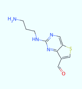 NCCCNc1ncc2scc(C=O)c2n1